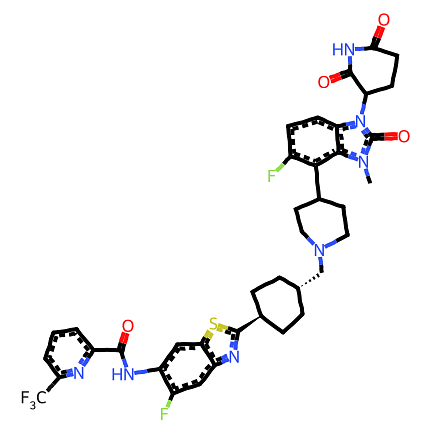 Cn1c(=O)n(C2CCC(=O)NC2=O)c2ccc(F)c(C3CCN(C[C@H]4CC[C@H](c5nc6cc(F)c(NC(=O)c7cccc(C(F)(F)F)n7)cc6s5)CC4)CC3)c21